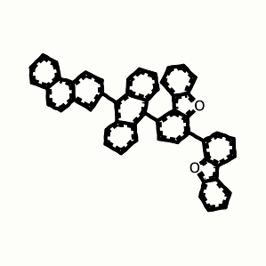 c1ccc2c(c1)ccc1cc(-c3c4ccccc4c(-c4ccc(-c5cccc6c5oc5ccccc56)c5oc6ccccc6c45)c4ccccc34)ccc12